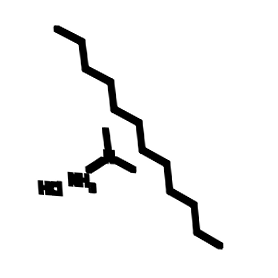 CCCCCCCCCCCC.CN(C)C.Cl.N